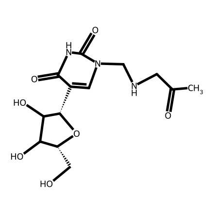 CC(=O)CNCn1cc([C@@H]2O[C@H](CO)C(O)C2O)c(=O)[nH]c1=O